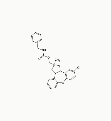 C[N+]1(COC(=O)NCc2ccccc2)CC2c3ccccc3Oc3ccc(Cl)cc3C2C1